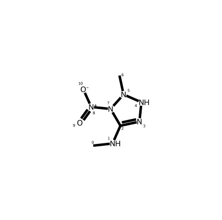 CNC1=NNN(C)N1[N+](=O)[O-]